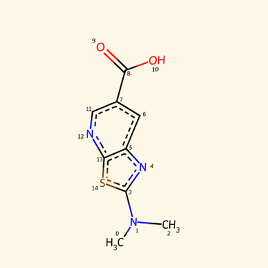 CN(C)c1nc2cc(C(=O)O)cnc2s1